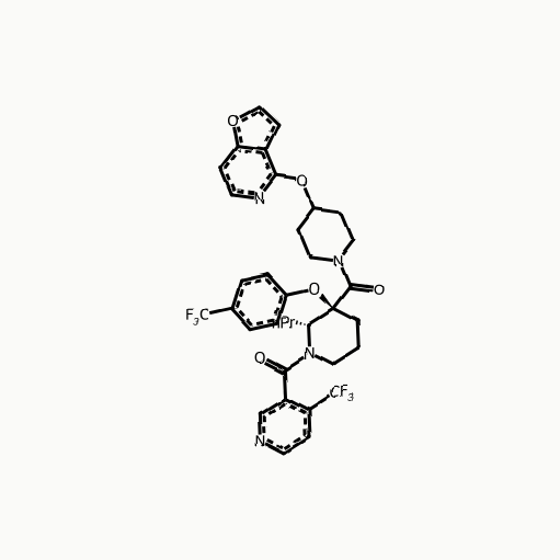 CCC[C@H]1N(C(=O)c2cnccc2C(F)(F)F)CCC[C@@]1(Oc1ccc(C(F)(F)F)cc1)C(=O)N1CCC(Oc2nccc3occc23)CC1